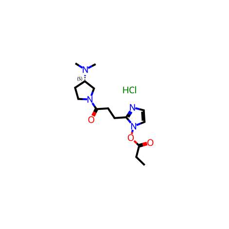 CCC(=O)On1ccnc1CCC(=O)N1CC[C@H](N(C)C)C1.Cl